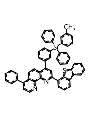 Cc1cccc([Si](c2ccccc2)(c2ccccc2)c2cccc(-c3cc(-c4cccc5c4sc4ccccc45)nc4c3ccc3c(-c5ccccc5)ccnc34)c2)c1